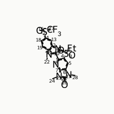 CCS(=O)(=O)c1cc2c(nc1-c1nc3cc([S+]([O-])C(F)(F)F)ccc3n1C)n(C)c(=O)n2C